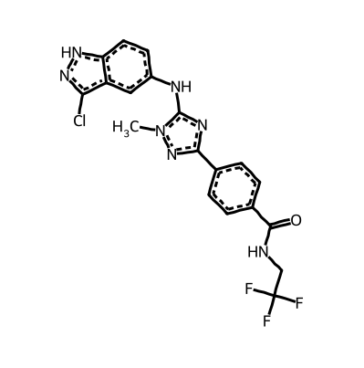 Cn1nc(-c2ccc(C(=O)NCC(F)(F)F)cc2)nc1Nc1ccc2[nH]nc(Cl)c2c1